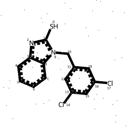 Sc1nc2ccccc2n1Cc1cc(Cl)cc(Cl)c1